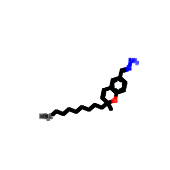 CC1(CCCCCCCCC(=O)O)C=Cc2cc(C=NN)ccc2O1